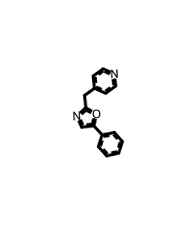 c1ccc(-c2cnc(Cc3ccncc3)o2)cc1